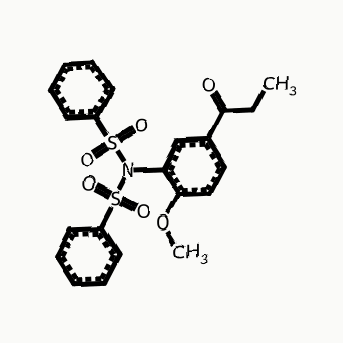 CCC(=O)c1ccc(OC)c(N(S(=O)(=O)c2ccccc2)S(=O)(=O)c2ccccc2)c1